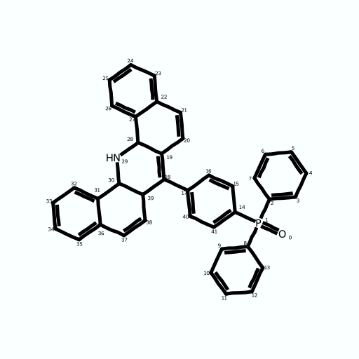 O=P(c1ccccc1)(c1ccccc1)c1ccc(C2=C3C=Cc4ccccc4C3NC3c4ccccc4C=CC23)cc1